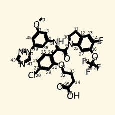 COc1cc(NC(C(=O)N2CCc3cc(F)c(OC(F)(F)F)cc32)c2ccc(Cl)cc2OCCCC(=O)O)cc(-n2cncn2)c1